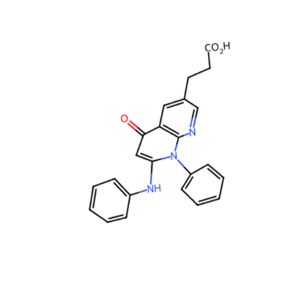 O=C(O)CCc1cnc2c(c1)c(=O)cc(Nc1ccccc1)n2-c1ccccc1